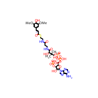 COc1cc(/C=C/C(=O)SCCNC(=O)CCNC(=O)[C@H](O)C(C)(C)COP(=O)(O)OP(=O)(O)OC[C@H]2O[C@@H](n3cnc4c(N)ncnc43)[C@H](O)[C@@H]2OP(=O)(O)O)cc(OC)c1O